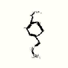 NCc1ccc(C=NN)cc1